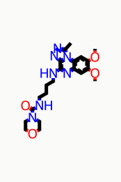 COc1cc2nc(NCCCCNC(=O)N3CCOCC3)c3nnc(C)n3c2cc1OC